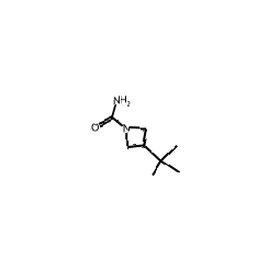 CC(C)(C)C1CN(C(N)=O)C1